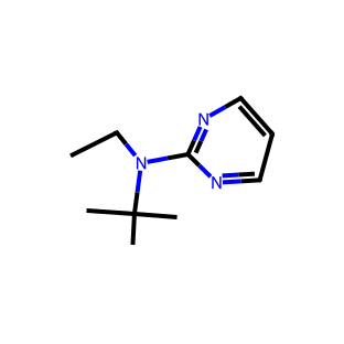 CCN(c1ncccn1)C(C)(C)C